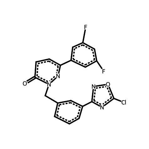 O=c1ccc(-c2cc(F)cc(F)c2)nn1Cc1cccc(-c2noc(Cl)n2)c1